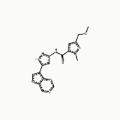 COCc1cc(C(=O)Nc2cc(-c3csc4cncnc34)[nH]n2)n(C)n1